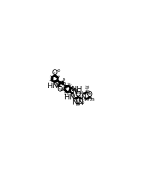 COc1ccc2c(c1)[C@]1(C[C@H]1c1ccc3c(Nc4ncnc(N5C[C@@H](C)O[C@@H](C)C5)c4OC)n[nH]c3c1)C(=O)N2